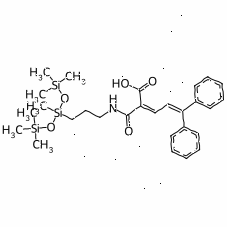 C[Si](C)(C)O[Si](C)(CCCNC(=O)C(=CC=C(c1ccccc1)c1ccccc1)C(=O)O)O[Si](C)(C)C